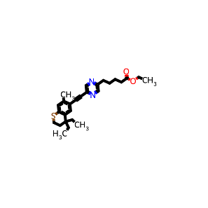 CCOC(=O)CCCCc1cnc(C#Cc2cc3c(cc2C)SCCC3(CC)CC)cn1